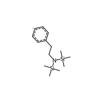 C[Si](C)(C)N(CCc1cc[c]cc1)[Si](C)(C)C